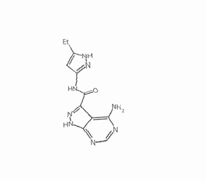 CCc1cc(NC(=O)c2n[nH]c3ncnc(N)c23)n[nH]1